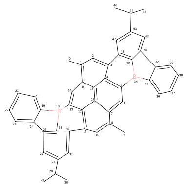 Cc1cc2c3c(cc4c(C)cc5c6c(cc1c3c46)B1c3ccccc3-c3cc(C(C)C)cc-5c31)B1c3ccccc3-c3cc(C(C)C)cc-2c31